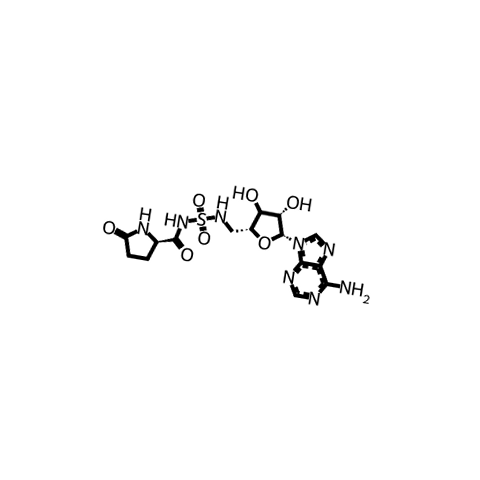 Nc1ncnc2c1ncn2[C@@H]1O[C@H](CNS(=O)(=O)NC(=O)[C@H]2CCC(=O)N2)C(O)[C@@H]1O